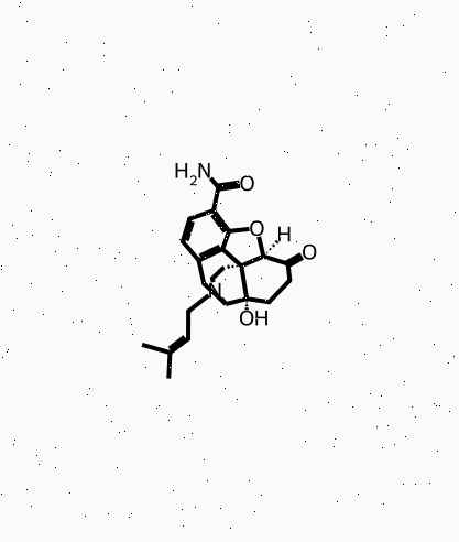 CC(C)=CCN1CC[C@]23c4c5ccc(C(N)=O)c4O[C@H]2C(=O)CC[C@@]3(O)C1C5